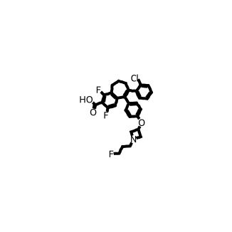 O=C(O)c1c(F)cc2c(c1F)CCCC(c1ccccc1Cl)=C2c1ccc(OC2CN(CCCF)C2)cc1